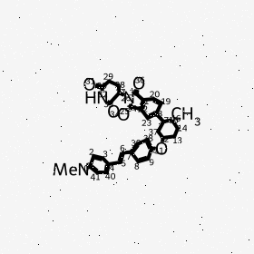 CNc1ccc(/C=C/c2ccc(OC3CCC(C)C(c4ccc5c(c4)C(=O)N(C4CCC(=O)NC4=O)C5=O)C3)cc2)cc1